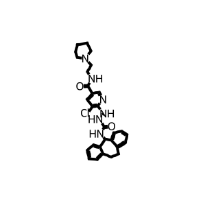 O=C(NNc1ncc(C(=O)NCCN2CCCCC2)cc1Cl)NC1c2ccccc2CCc2ccccc21